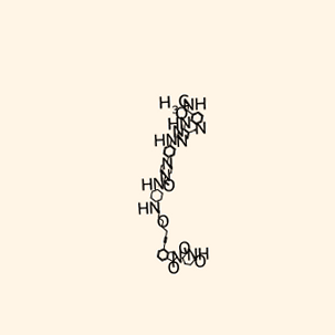 CNC(=O)c1ccccc1Nc1nc(Nc2ccc(N3CCN(C(=O)N[C@H]4CC[C@@H](NCCOCCC#Cc5cccc6c5CN(C5CCC(=O)NC5=O)C6=O)CC4)CC3)cc2)ncc1C#N